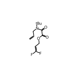 C=CCN(C(=O)C(=O)OCC=C(F)F)C(C)(C)C